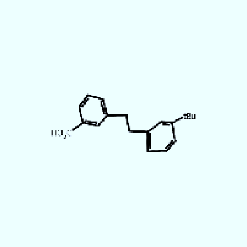 CC(C)(C)c1cccc(CCc2cccc(C(=O)O)c2)c1